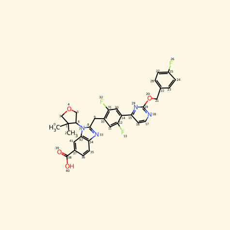 CC1(C)COCC1n1c(Cc2cc(F)c(-c3ccnc(OCc4ccc(F)cc4)n3)cc2F)nc2ccc(C(=O)O)cc21